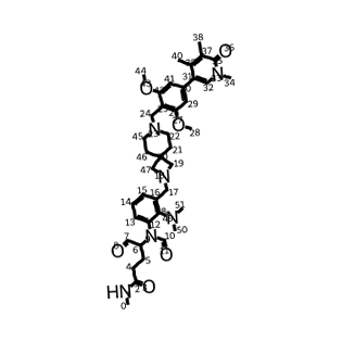 CNC(=O)CCC(C=O)N(C=O)c1cccc(CN2CC3(CCN(Cc4c(OC)cc(-c5cn(C)c(=O)c(C)c5C)cc4OC)CC3)C2)c1N(C)C